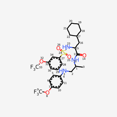 CC(CNc1ccc(OC(F)(F)F)cc1)NC(=O)C(CC1CCCCC1)NS(=O)(=O)c1cccc(OC(F)(F)F)c1